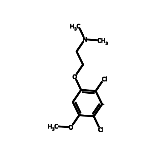 COc1cc(OCCN(C)C)c(Cl)[c]c1Cl